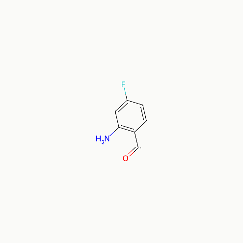 Nc1cc(F)ccc1[C]=O